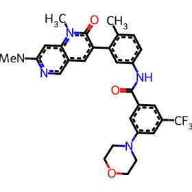 CNc1cc2c(cn1)cc(-c1cc(NC(=O)c3cc(N4CCOCC4)cc(C(F)(F)F)c3)ccc1C)c(=O)n2C